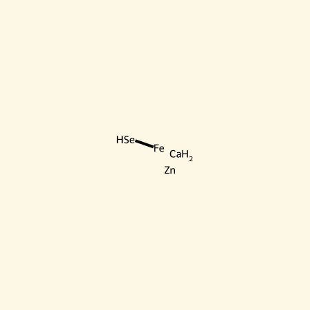 [CaH2].[Fe][SeH].[Zn]